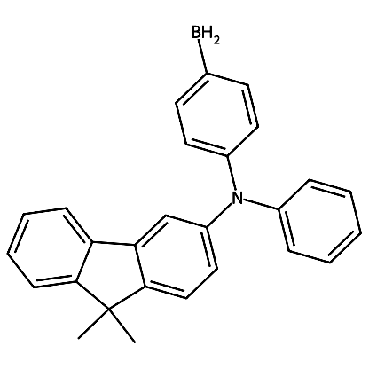 Bc1ccc(N(c2ccccc2)c2ccc3c(c2)-c2ccccc2C3(C)C)cc1